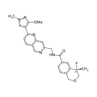 COc1nn(C)cc1-c1ccc2cnc(CNC(=O)c3ccc4c(c3)[C@](C)(F)COC4)cc2n1